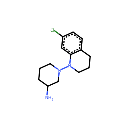 NC1CCCN(N2CCCc3ccc(Cl)cc32)C1